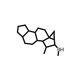 CBC1C(C)C2C3CCC4CCCC4C3CCC23CC13